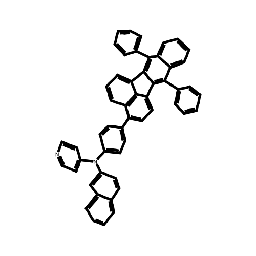 c1ccc(-c2c3c(c(-c4ccccc4)c4ccccc24)-c2ccc(-c4ccc(N(c5ccncc5)c5ccc6ccccc6c5)cc4)c4cccc-3c24)cc1